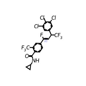 O=C(NC1CC1)c1ccc(/C(F)=C/C(c2cc(Cl)c(Cl)c(Cl)c2)C(F)(F)F)cc1C(F)(F)F